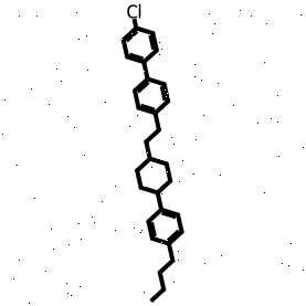 CCCCc1ccc(C2CCC(CCc3ccc(-c4ccc(Cl)cc4)cc3)CC2)cc1